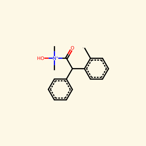 [CH2]c1ccccc1C(C(=O)[N+](C)(C)O)c1ccccc1